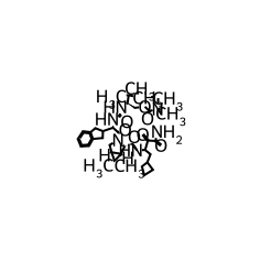 CN(C)C(=O)OC[C@@H](NC(=O)N[C@H](C(=O)N1C[C@H]2[C@@H]([C@H]1C(=O)NC(CC1CCC1)C(=O)C(N)=O)C2(C)C)C1Cc2ccccc2C1)C(C)(C)C